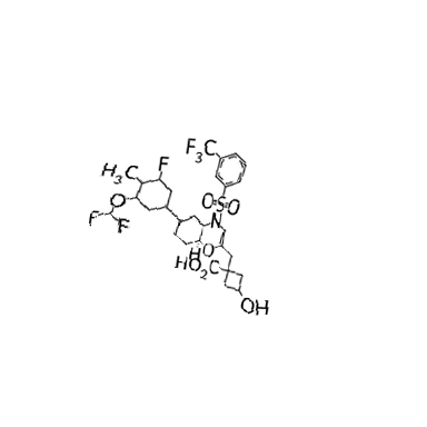 CC1C(F)CC(C2CC[C@@H]3OC(CC4(C(=O)O)CC(O)C4)=CN(S(=O)(=O)c4cccc(C(F)(F)F)c4)C3C2)CC1OC(F)F